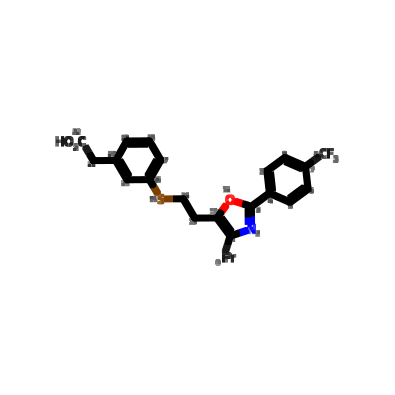 CC(C)c1nc(-c2ccc(C(F)(F)F)cc2)oc1CCSc1cccc(CC(=O)O)c1